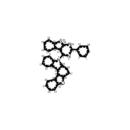 c1ccc(-c2nc(-n3c4ccccc4c4c5c(ccc43)oc3ccccc35)c3c(n2)sc2ccccc23)cc1